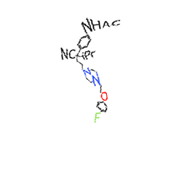 CC(=O)Nc1ccc(C(C#N)(CCCN2CCN(CCOc3ccc(F)cc3)CC2)C(C)C)cc1